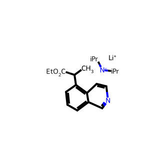 CC(C)[N-]C(C)C.CCOC(=O)C(C)c1cccc2cnccc12.[Li+]